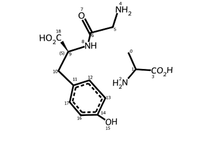 CC(N)C(=O)O.NCC(=O)N[C@@H](Cc1ccc(O)cc1)C(=O)O